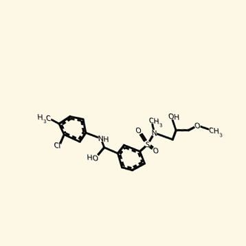 COCC(O)CN(C)S(=O)(=O)c1cccc(C(O)Nc2ccc(C)c(Cl)c2)c1